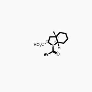 CC(C)C(=O)N1[C@H]2CCCC[C@@]2(C)C[C@H]1C(=O)O